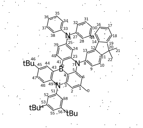 Cc1cc2c3c(c1)N(c1ccc4c(c1)-c1ccccc1C4(C)C)c1cc(N(c4ccccc4)c4ccccc4)ccc1B3c1cc(C(C)(C)C)ccc1N2c1cc(C(C)(C)C)cc(C(C)(C)C)c1